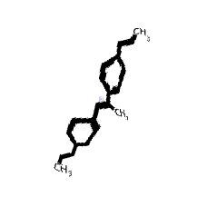 CCCc1ccc(/C(C)=C/C2CCC(CCC)CC2)cc1